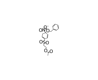 CC(=O)OCCS(=O)(=O)C1=CCC(OCc2ccccc2)([N+](=O)[O-])C=C1